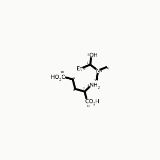 CCC(O)N(C)C.NC(CCC(=O)O)C(=O)O